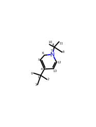 CC(C)(C)C1=CCN(C(C)(C)C)C=C1